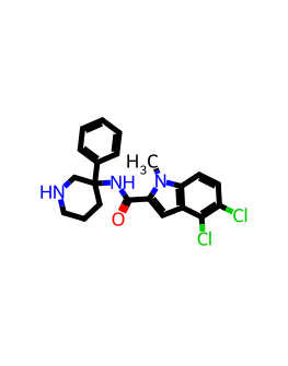 Cn1c(C(=O)NC2(c3ccccc3)CCCNC2)cc2c(Cl)c(Cl)ccc21